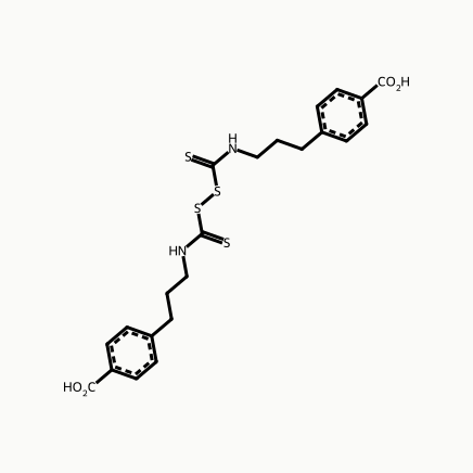 O=C(O)c1ccc(CCCNC(=S)SSC(=S)NCCCc2ccc(C(=O)O)cc2)cc1